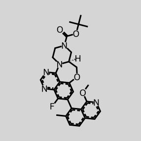 COc1nccc2ccc(C)c(-c3cc4c5c(ncnc5c3F)N3CCN(C(=O)OC(C)(C)C)C[C@H]3CO4)c12